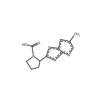 Cc1cnc2nc(C3CCCN3C(=O)O)sc2c1